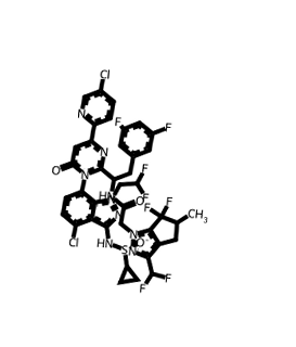 CC1Cc2c(C(F)F)nn(CC(=O)NC(Cc3cc(F)cc(F)c3)c3nc(-c4ccc(Cl)cn4)cc(=O)n3-c3ccc(Cl)c4c(N[S+]([O-])C5CC5)nn(CC(F)F)c34)c2C1(F)F